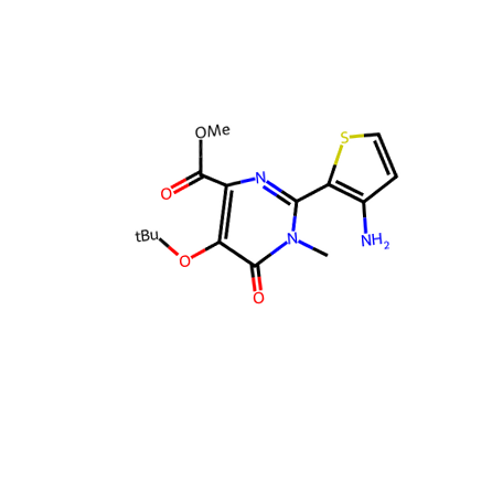 COC(=O)c1nc(-c2sccc2N)n(C)c(=O)c1OC(C)(C)C